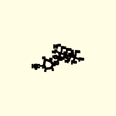 Cc1ccc(OS(=O)(=O)C(F)(F)C(F)(F)C(F)(F)C(F)(F)F)cc1.I